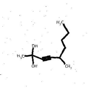 CCCCC(C)C#CC(C)(O)O